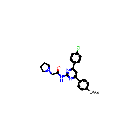 COc1ccc(-c2cc(-c3ccc(Cl)cc3)nc(NC(=O)CN3CCCC3)n2)cc1